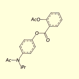 CC(=O)Oc1ccccc1C(=O)Oc1ccc(N(C(C)=O)C(C)C)cc1